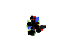 Cc1ccc(-n2c([C@H](Cc3cc(F)cc(F)c3)NC(=O)Cn3nc(C(F)F)c4c3C(F)(F)[C@@H]3C[C@H]43)nc3cc(-c4ccccc4S(=O)(=O)C(C)(C)C)ccc3c2=O)c2c1c(NS(=O)(=O)C1CC1)nn2CC(F)F